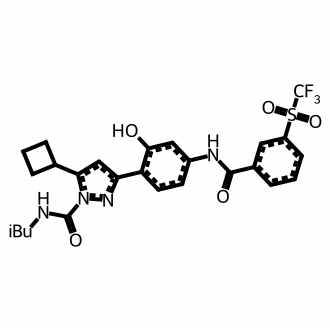 CCC(C)NC(=O)n1nc(-c2ccc(NC(=O)c3cccc(S(=O)(=O)C(F)(F)F)c3)cc2O)cc1C1CCC1